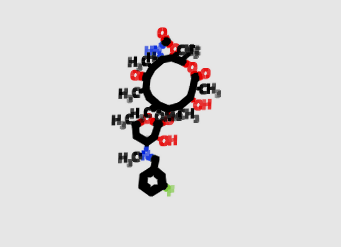 CC[C@H]1OC(=O)[C@H](C)[C@@H](O)[C@H](C)[C@@H](OC2O[C@H](C)C[C@H](N(C)Cc3cccc(F)c3)[C@H]2O)[C@@](C)(OC)C[C@@H](C)C(=O)[C@H](C)[C@H]2NC(=O)O[C@@]21C